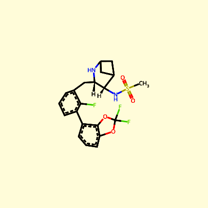 CS(=O)(=O)N[C@H]1C2CC(C2)N[C@H]1Cc1cccc(-c2cccc3c2OC(F)(F)O3)c1F